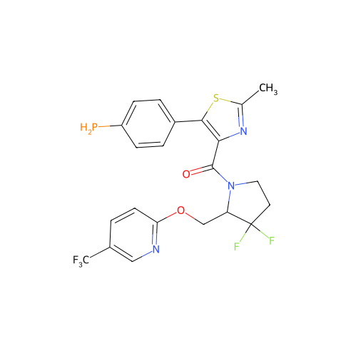 Cc1nc(C(=O)N2CCC(F)(F)C2COc2ccc(C(F)(F)F)cn2)c(-c2ccc(P)cc2)s1